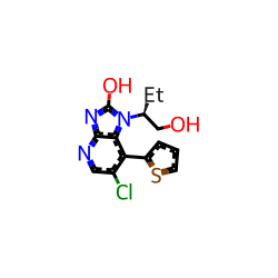 CC[C@@H](CO)n1c(O)nc2ncc(Cl)c(-c3cccs3)c21